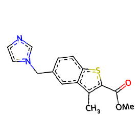 COC(=O)c1sc2ccc(Cn3ccnc3)cc2c1C